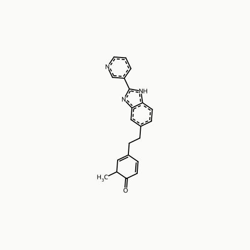 CC1C=C(CCc2ccc3[nH]c(-c4cccnc4)nc3c2)C=CC1=O